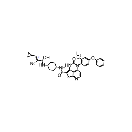 Cc1cc(Oc2ccccc2)ccc1N1C(=O)Nc2c(C(=O)N[C@H]3CC[C@@H](NC(O)/C(C#N)=C/C4CC4)CC3)sc3nccc1c23